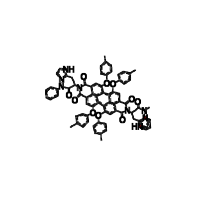 Cc1ccc(Oc2cc3c4c(cc(Oc5ccc(C)cc5)c5c6c(Oc7ccc(C)cc7)cc7c8c(cc(Oc9ccc(C)cc9)c(c2c45)c86)C(=O)N(C(Cc2ncc[nH]2)C(=O)N(C)c2ccccc2)C7=O)C(=O)N(C(Cc2ncc[nH]2)C(=O)N(C)c2ccccc2)C3=O)cc1